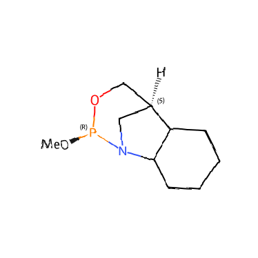 CO[P@@]1OC[C@@H]2CN1C1CCCCC12